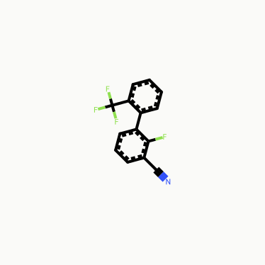 N#Cc1cccc(-c2ccccc2C(F)(F)F)c1F